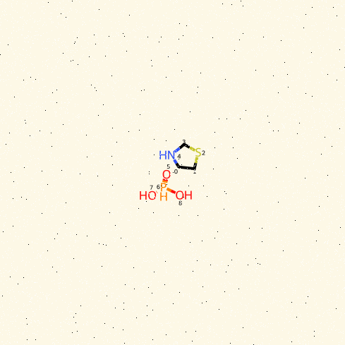 C1CSCN1.O=[PH](O)O